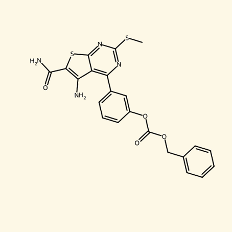 CSc1nc(-c2cccc(OC(=O)OCc3ccccc3)c2)c2c(N)c(C(N)=O)sc2n1